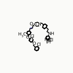 Cc1cc(/C=C/C(=O)N2CCN(Cc3ccc(CCNc4ccc(C(C)C)cc4)cc3)CC2)cc(Cl)c1Oc1ccc(OCc2ccccc2Cl)cn1.Cl.Cl